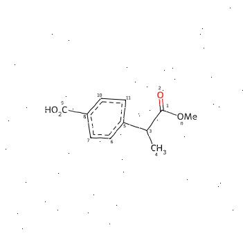 COC(=O)C(C)c1ccc(C(=O)O)cc1